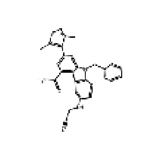 Cc1noc(C)c1-c1cc(C(N)=O)c2c3cc(NCC#N)ccc3n(Cc3ccccc3)c2c1